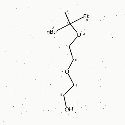 C[CH]C(C)(CCCC)OCCOCCO